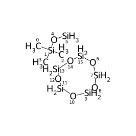 C[Si](C)(C)O[SiH3].O1[SiH2]O[SiH2]O[SiH2]O[SiH2]O[SiH2]1